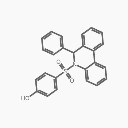 O=S(=O)(c1ccc(O)cc1)N1c2ccccc2-c2ccccc2C1c1ccccc1